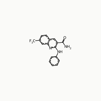 NC(=O)c1cc2ccc(C(F)(F)F)cc2nc1Nc1ccccc1